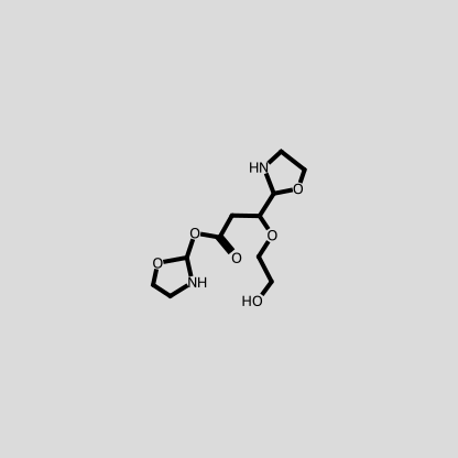 O=C(CC(OCCO)C1NCCO1)OC1NCCO1